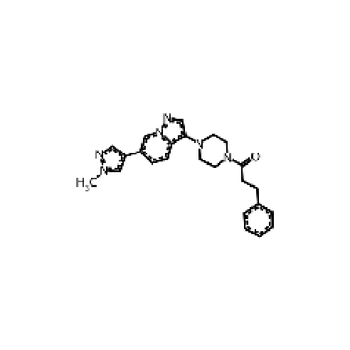 Cn1cc(-c2ccc3c(N4CCN(C(=O)CCc5ccccc5)CC4)cnn3c2)cn1